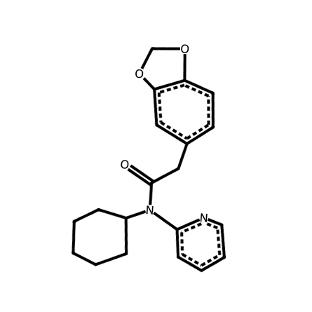 O=C(Cc1ccc2c(c1)OCO2)N(c1ccccn1)C1CCCCC1